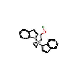 ClOC[CH2][Zr]1([CH]2C=Cc3ccccc32)([CH]2C=Cc3ccccc32)[CH2][CH2]1